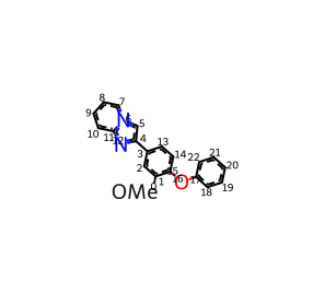 COc1cc(-c2cn3ccccc3n2)ccc1Oc1ccccc1